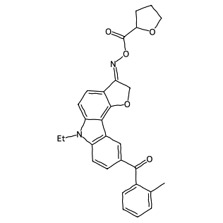 CCn1c2ccc(C(=O)c3ccccc3C)cc2c2c3c(ccc21)/C(=N/OC(=O)C1CCCO1)CO3